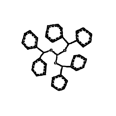 c1ccc(C(OP(OC(c2ccccc2)c2ccccc2)OC(c2ccccc2)c2ccccc2)c2ccccc2)cc1